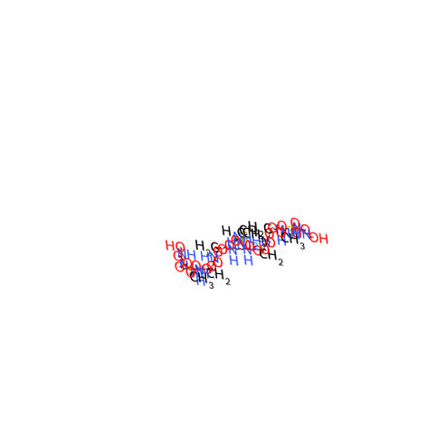 C=C(COCCC(=O)NCCCCC(NC(=O)CCOCC(=C)OCCNC(=O)CCOCC(=C)OCCNC(=O)C(CSC1CC(=O)N(CCC(=O)NCCO)C1=O)NC(C)=O)C(=O)NC(CSSC(C)(C)C)C(N)=O)OCCNC(=O)CCOCC(=C)OCCNC(=O)C(CSC1CC(=O)N(CCC(=O)NCCO)C1=O)NC(C)=O